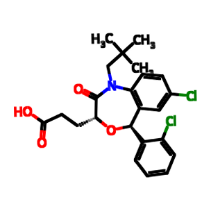 CC(C)(C)CN1C(=O)[C@@H](CCC(=O)O)O[C@H](c2ccccc2Cl)c2cc(Cl)ccc21